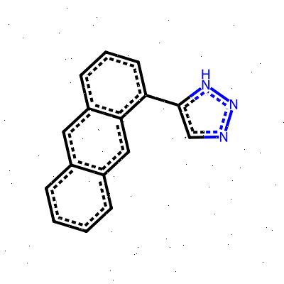 [c]1nn[nH]c1-c1cccc2cc3ccccc3cc12